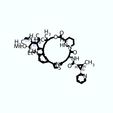 C=C/C(=C(\N=C/C)[C@H](C)OC)c1c2c3cc(ccc3n1CC)-c1csc(n1)C[C@H](NC(=O)[C@@H]1[C@H](C)[C@@H]1c1ccccn1)C(=O)N1CCC[C@H](N1)C(=O)OCC(C)(C)C2